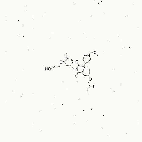 COc1ccc(Cn2c(=O)c3cc(OCC(F)F)ccc3n(C3CCN(C=O)CC3)c2=O)cc1OCCCO